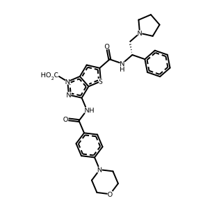 O=C(Nc1nn(C(=O)O)c2cc(C(=O)N[C@H](CN3CCCC3)c3ccccc3)sc12)c1ccc(N2CCOCC2)cc1